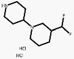 Cl.Cl.FC(F)C1CCCN(C2CCNCC2)C1